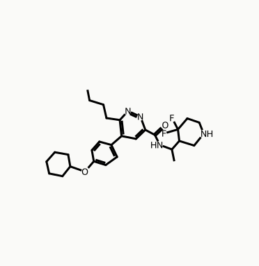 CCCCc1nnc(C(=O)NC(C)C2CNCCC2(F)F)cc1-c1ccc(OC2CCCCC2)cc1